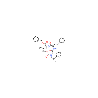 CC(C)C[C@@H](NC(=O)[C@@H](CCc1ccccc1)NC(=O)CN(C[C@@H](C)c1ccccc1)C(=O)OC(C)(C)C)C(=O)OCc1ccccc1